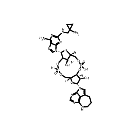 Nc1nc(NCC2(N)CC2)nc2c1ncn2[C@@H]1O[C@@H]2COP(=O)(S)O[C@H]3[C@@H](O)[C@H](n4cc5c6c(ncnc64)NCCC5)O[C@@H]3COP(=O)(S)O[C@@H]1[C@@H]2O